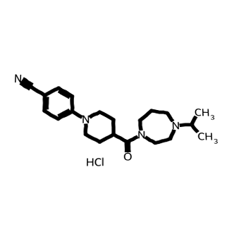 CC(C)N1CCCN(C(=O)C2CCN(c3ccc(C#N)cc3)CC2)CC1.Cl